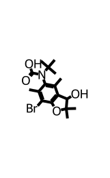 Cc1c(Br)c2c(c(C)c1N(C(=O)O)C(C)(C)C)C(O)C(C)(C)O2